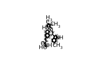 Cc1ccc2c(CCN(Cc3[nH]cc(C)c3C)C3CCc4cc(C=CC(=O)NO)ccc43)c[nH]c2c1